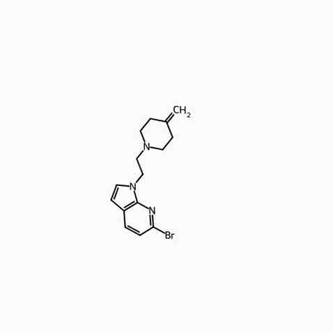 C=C1CCN(CCn2ccc3ccc(Br)nc32)CC1